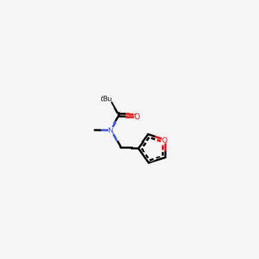 CN(Cc1ccoc1)C(=O)C(C)(C)C